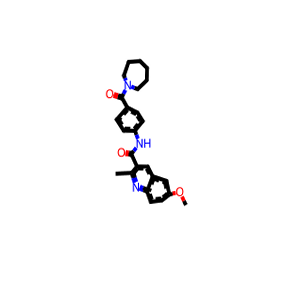 COc1ccc2nc(C)c(C(=O)Nc3ccc(C(=O)N4CCCCCC4)cc3)cc2c1